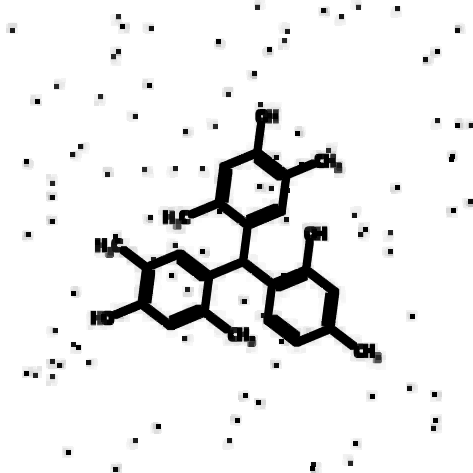 Cc1ccc(C(c2cc(C)c(O)cc2C)c2cc(C)c(O)cc2C)c(O)c1